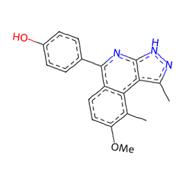 COc1ccc2c(-c3ccc(O)cc3)nc3[nH]nc(C)c3c2c1C